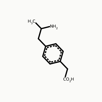 CC(N)Cc1ccc(CC(=O)O)cc1